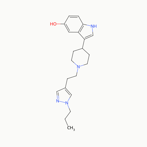 CCCn1cc(CCN2CCC(c3c[nH]c4ccc(O)cc34)CC2)cn1